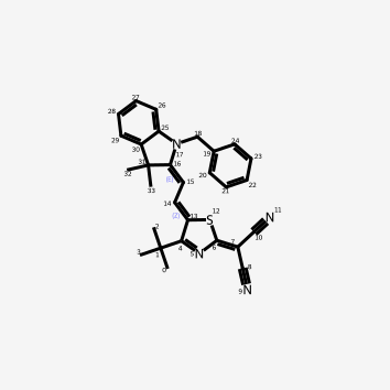 CC(C)(C)c1nc(=C(C#N)C#N)s/c1=C\C=C1\N(Cc2ccccc2)c2ccccc2C1(C)C